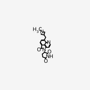 CN1CC(Cc2ccc3c4c(ccnc24)N(C2CCC(=O)NC2=O)C3=O)C1